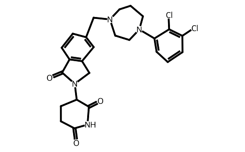 O=C1CCC(N2Cc3cc(CN4CCCN(c5cccc(Cl)c5Cl)CC4)ccc3C2=O)C(=O)N1